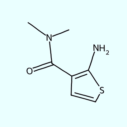 CN(C)C(=O)c1ccsc1N